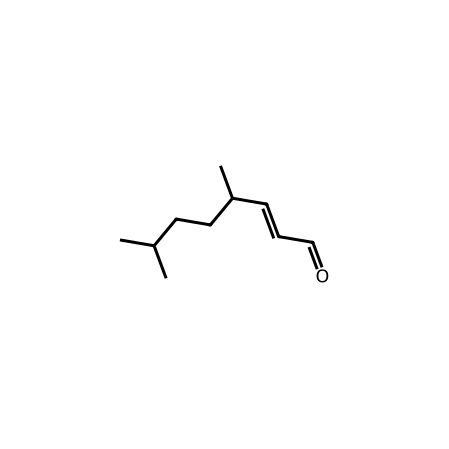 CC(C)CCC(C)/C=C/C=O